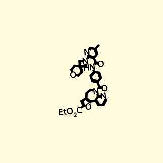 CCOC(=O)c1cc2c(o1)-c1cccnc1N(C(=O)c1ccc(NC(=O)c3cc(C)cnc3N3CC4(CCOCC4)C3)cc1)CC2